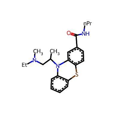 CCCNC(=O)c1ccc2c(c1)N(C(C)CN(C)CC)c1ccccc1S2